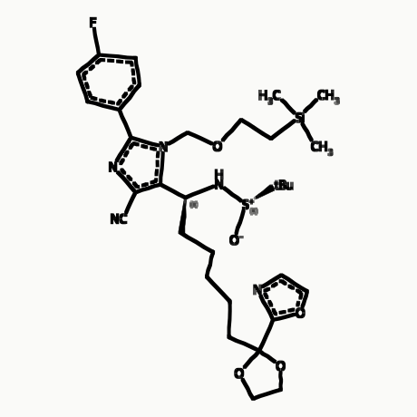 CC(C)(C)[S@@+]([O-])N[C@@H](CCCCCC1(c2ncco2)OCCO1)c1c(C#N)nc(-c2ccc(F)cc2)n1COCC[Si](C)(C)C